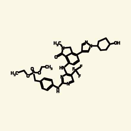 CCOP(=O)(Cc1ccc(Nc2ncc(C(F)(F)F)c(Nc3ccc(-c4cnn(C5CCC(O)CC5)c4)c4c3C(=O)N(C)C4)n2)cc1)OCC